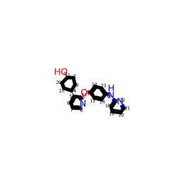 O[C@H]1CC[C@H](c2cccnc2Oc2ccc(Nc3ccccn3)cc2)CC1